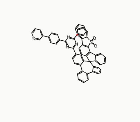 O=S1(=O)c2ccccc2-c2ccc3c(c21)-c1ccccc1C31c2ccccc2-c2ccccc2-c2ccc(-c3nc(-c4ccccc4)nc(-c4ccc(-c5cccnc5)cc4)n3)cc21